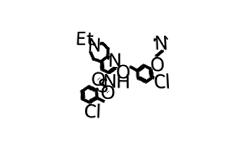 CCN1CCc2cc(NS(=O)(=O)c3cccc(Cl)c3C)c(OCc3ccc(Cl)c(OCCN(C)C)c3)nc2CC1